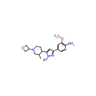 CC1CN(C2COC2)CCC1c1cc(-c2cnc(N)c(OC(F)(F)F)c2)nn1C(C)C